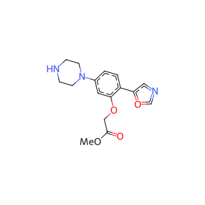 COC(=O)COc1cc(N2CCNCC2)ccc1-c1cnco1